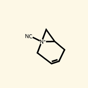 N#C[N+]12CC=CCC1C2